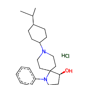 CC(C)C1CCC(N2CCC3(CC2)[C@@H](O)CCN3c2ccccc2)CC1.Cl